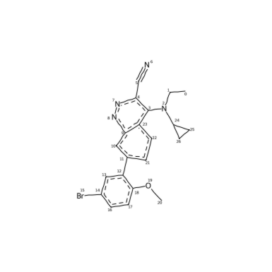 CCN(c1c(C#N)nnc2cc(-c3cc(Br)ccc3OC)ccc12)C1CC1